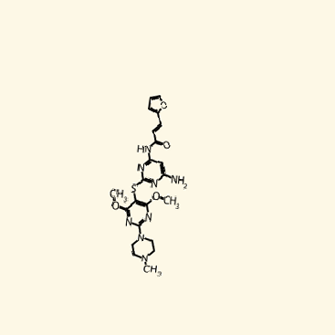 COc1nc(N2CCN(C)CC2)nc(OC)c1Sc1nc(N)cc(NC(=O)C=Cc2ccco2)n1